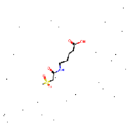 CS(=O)(=O)CC(=O)NCCCCC(=O)O